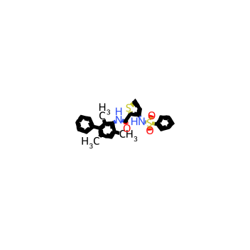 Cc1cc(C)c(-c2ccccc2)c(C)c1NC(=O)c1sccc1NS(=O)(=O)c1ccccc1